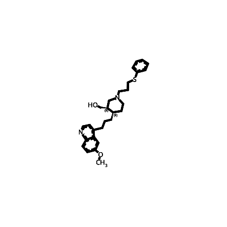 COc1ccc2nccc(CCC[C@@H]3CCN(CCCSc4ccccc4)C[C@@H]3CO)c2c1